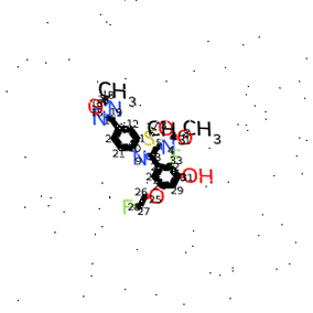 COC(=O)/N=C(SC)/C(=N\c1ccc(-c2noc(C)n2)cc1)c1cc(OCCF)cc(O)c1F